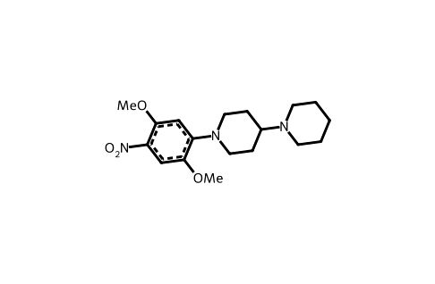 COc1cc([N+](=O)[O-])c(OC)cc1N1CCC(N2CCCCC2)CC1